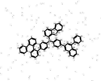 c1ccc(-c2ccccc2-c2ccccc2-c2ccc(N(c3ccc(-c4cc(-c5ccccc5)c5ccccc5c4)cc3)c3cccc4c3oc3ccccc34)cc2)cc1